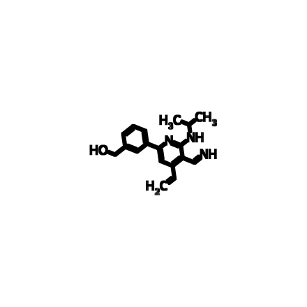 C=Cc1cc(-c2cccc(CO)c2)nc(NC(C)C)c1C=N